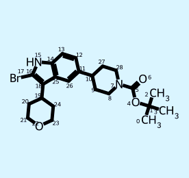 CC(C)(C)OC(=O)N1CCC(c2ccc3[nH]c(Br)c(C4CCOCC4)c3c2)CC1